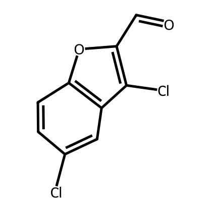 O=Cc1oc2ccc(Cl)cc2c1Cl